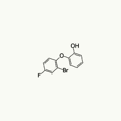 Oc1ccccc1Oc1ccc(F)[c]c1Br